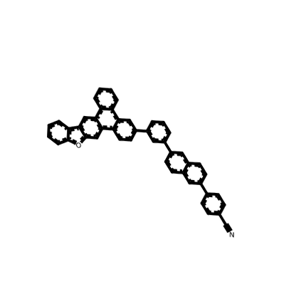 N#Cc1ccc(-c2ccc3cc(-c4cccc(-c5ccc6c(c5)c5ccccc5c5cc7c(cc65)oc5ccccc57)c4)ccc3c2)cc1